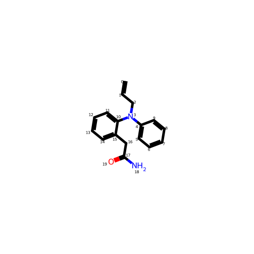 C=CCN(c1ccccc1)c1ccccc1CC(N)=O